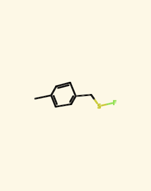 Cc1ccc(CSF)cc1